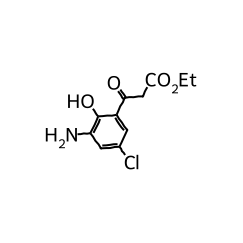 CCOC(=O)CC(=O)c1cc(Cl)cc(N)c1O